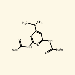 CNC(=O)Nc1nc(NC(=O)NC)nc(N(C)C)n1